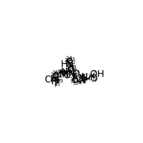 O=C(O)CCc1cn(Cc2cccc(C(=O)Nc3ccc(N4CCCCC4)cc3C(=O)NN=Cc3ccc(Cl)c(C(F)(F)F)c3)c2)nn1